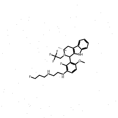 COc1ccc(NCCNCCCF)c(F)c1C1c2[nH]c3ccccc3c2C[C@@H](C)N1CC(F)(F)F